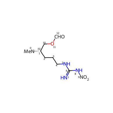 CN[C@@H](CCCNC(=N)N[N+](=O)[O-])COC=O